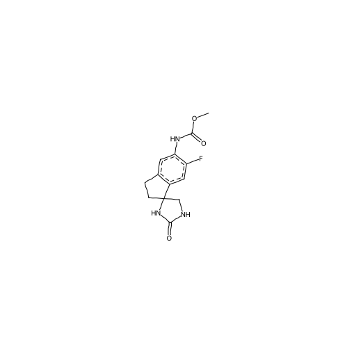 COC(=O)Nc1cc2c(cc1F)C1(CC2)CNC(=O)N1